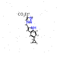 CCOC(=O)c1cn(Cc2cc3cc(C4CC4)ccc3[nH]2)nn1